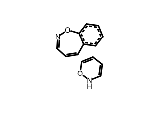 C1=CNOC=C1.C1=Cc2ccccc2ON=C1